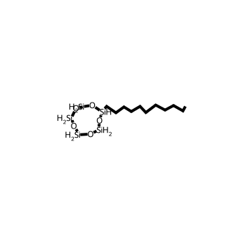 CCCCCCCCCCC[SiH]1O[SiH2]O[SiH2]O[SiH2]O[SiH2]O1